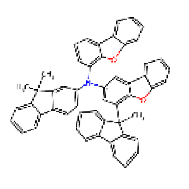 CC1(C)c2ccccc2-c2ccc(N(c3cc(C4(C)c5ccccc5-c5ccccc54)c4oc5ccccc5c4c3)c3cccc4c3oc3ccccc34)cc21